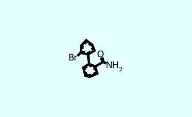 NC(=O)c1ccccc1-c1ccccc1Br